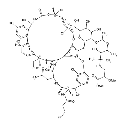 COC(=O)C(CNC(C)(C)C(O)C(C)OC(C)OC1C(Oc2c3cc4cc2Oc2ccc(cc2Cl)[C@@H](O)CC(=O)NC(C=O)c2cc(O)cc(O)c2-c2cc(ccc2O)[C@H](CC=O)NC(=O)C4NC(=O)C(CC(N)=O)NC(=O)[C@@H](NC(=O)CCC(C)C)C(O)c2ccc(c(Cl)c2)O3)OC(CO)C(O)C1O)OC